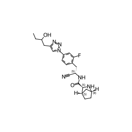 CCC(O)Cc1cn(-c2ccc(C[C@@H](C#N)NC(=O)[C@H]3N[C@@H]4CC[C@H]3C4)c(F)c2)nn1